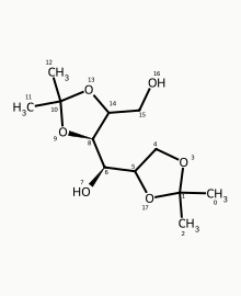 CC1(C)OCC([C@@H](O)[C@H]2OC(C)(C)OC2CO)O1